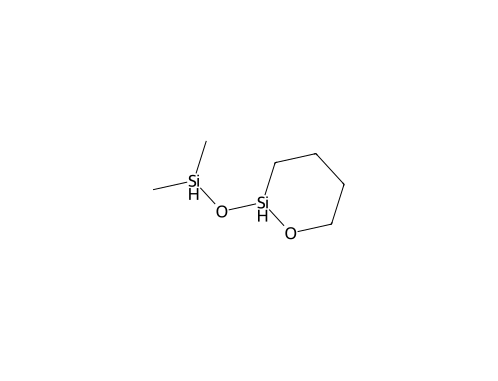 C[SiH](C)O[SiH]1CCCCO1